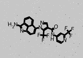 NC1=Nc2ccc(-n3ncc(C(=O)Nc4ccnc(C(F)(F)F)c4)c3C(F)(F)F)c3cccc1c23